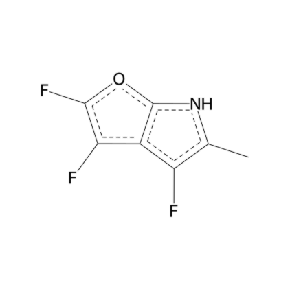 Cc1[nH]c2oc(F)c(F)c2c1F